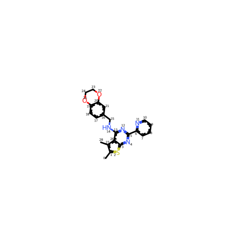 Cc1sc2nc(-c3ccccn3)nc(NCc3ccc4c(c3)OCCO4)c2c1C